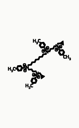 Cc1ccc(S(=O)(=O)N(CCCCCCCCCCN(CCCCN(CC2CC2)S(=O)(=O)c2ccc(C)cc2)S(=O)(=O)c2ccc(C)cc2)CCCCN(CC2CC2)S(=O)(=O)c2ccc(C)cc2)cc1